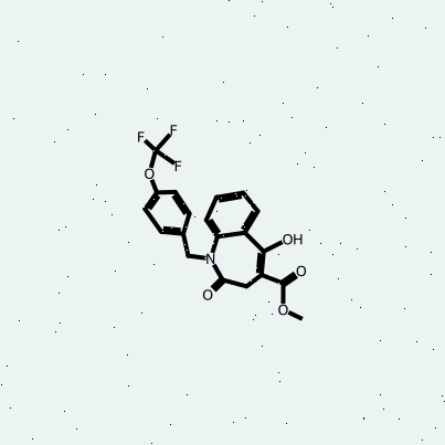 COC(=O)C1=C(O)c2ccccc2N(Cc2ccc(OC(F)(F)F)cc2)C(=O)C1